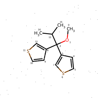 COC(c1ccsc1)(c1ccsc1)C(C)C